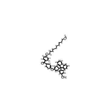 COCCCCCCCCCCOc1ccc(C(=O)c2ccc(Oc3ccc(C4(c5ccc(O)cc5)c5ccccc5-c5ccccc54)cc3)cc2)cc1